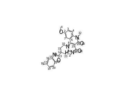 COc1ccc2c(c1)c(N1CCC(c3nc4cc(C)ccc4o3)CC1)c(C(N)=O)c(=O)n2C